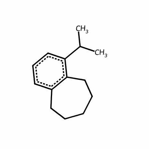 CC(C)c1cccc2c1CCCCC2